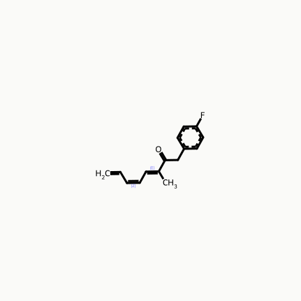 C=C/C=C\C=C(/C)C(=O)Cc1ccc(F)cc1